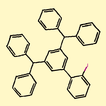 Ic1ccccc1-c1cc(C(c2ccccc2)c2ccccc2)cc(C(c2ccccc2)c2ccccc2)c1